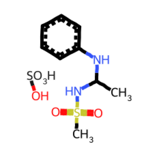 CC(Nc1ccccc1)NS(C)(=O)=O.O=S(=O)(O)O